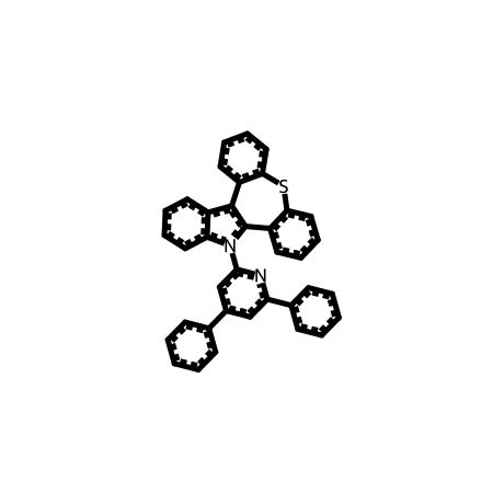 c1ccc(-c2cc(-c3ccccc3)nc(-n3c4c(c5ccccc53)-c3ccccc3Sc3ccccc3-4)c2)cc1